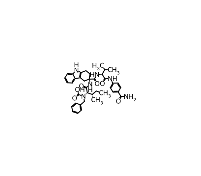 CC[C@H](C)[C@@H](C(=O)N[C@]1(C(=O)N[C@H](C(=O)Nc2ccc(C(N)=O)cc2)C(C)C)CCc2[nH]c3ccccc3c2C1)N(Cc1ccccc1)C(=O)O